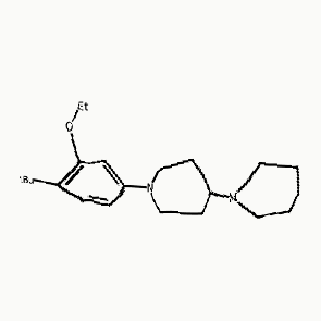 CCOc1cc(N2CCC(N3CCCCC3)CC2)ccc1C(C)(C)C